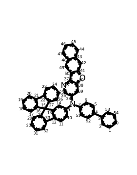 c1ccc(-c2ccc(N(c3ccc4c(c3)C3(c5ccccc5-c5ccccc53)c3ccccc3-4)c3cnc4c(c3)oc3cc5ccccc5cc34)cc2)cc1